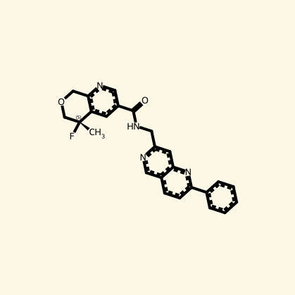 C[C@@]1(F)COCc2ncc(C(=O)NCc3cc4nc(-c5ccccc5)ccc4cn3)cc21